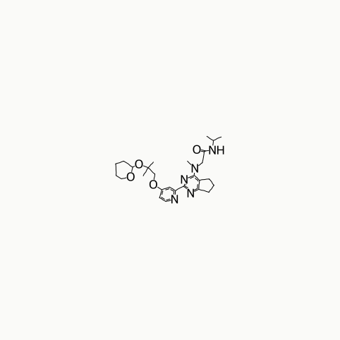 CC(C)NC(=O)CN(C)c1nc(-c2cc(OCC(C)(C)OC3CCCCO3)ccn2)nc2c1CCC2